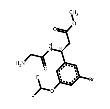 COC(=O)C[C@H](NC(=O)CN)c1cc(Br)cc(OC(F)F)c1